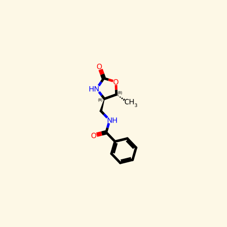 C[C@H]1OC(=O)N[C@@H]1CNC(=O)c1ccccc1